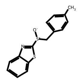 Cc1ccc(C[S+]([O-])c2nc3ccccc3s2)cc1